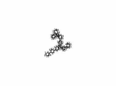 c1ccc(-c2ccc(-c3ccc(N(c4ccc(-c5cccc(-n6c7ccccc7c7ccccc76)c5)cc4)c4cccc(-c5ccccc5)c4)cc3)cc2)cc1